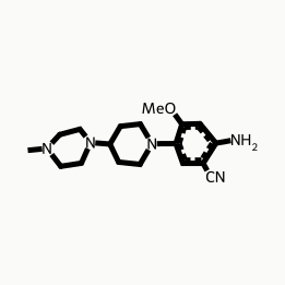 COc1cc(N)c(C#N)cc1N1CCC(N2CCN(C)CC2)CC1